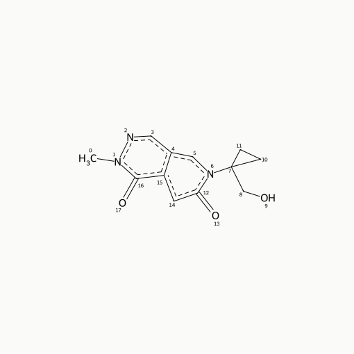 Cn1ncc2cn(C3(CO)CC3)c(=O)cc2c1=O